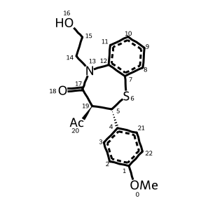 COc1ccc([C@H]2Sc3ccccc3N(CCO)C(=O)[C@@H]2C(C)=O)cc1